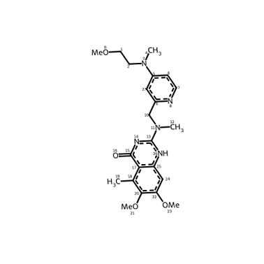 COCCN(C)c1ccnc(CN(C)c2nc(=O)c3c(C)c(OC)c(OC)cc3[nH]2)c1